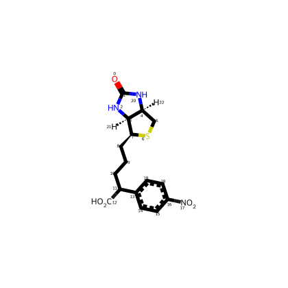 O=C1N[C@H]2[C@H](CS[C@H]2CCCC(C(=O)O)c2ccc([N+](=O)[O-])cc2)N1